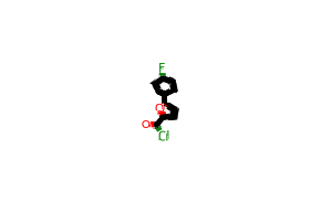 O=C(Cl)c1ccc(-c2ccc(F)cc2)o1